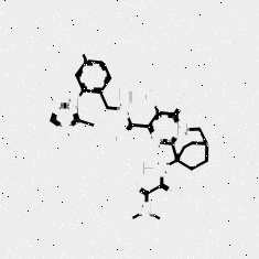 Cc1ncnn1-c1cc(F)ccc1CNC(=O)c1nc2n(c(=O)c1O)CC1CCC2(NC(=O)C(=O)N(C)C)CC1